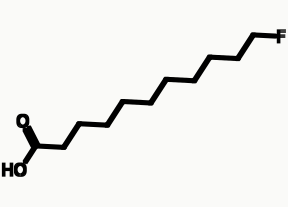 O=C(O)CCCCCCCCCCF